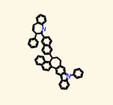 C1=CC(c2ccccc2)C(c2ccc3cc(C4CCc5cc6c(cc5-c5ccc7ccccc7c54)c4ccccc4n6-c4ccccc4)ccc3c2)=Nc2ccccc21